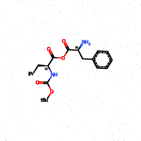 CC(C)C[C@H](NC(=O)OC(C)(C)C)C(=O)OC(=O)[C@@H](N)Cc1ccccc1